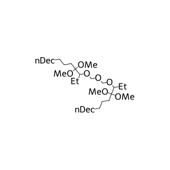 CCCCCCCCCCCCCC(OC)(OC)C(CC)OCOCOC(CC)C(CCCCCCCCCCCCC)(OC)OC